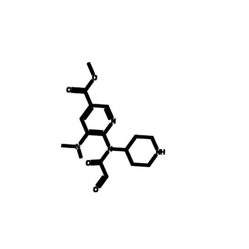 COC(=O)c1cnc(N(C(=O)C=O)C2CCNCC2)c(N(C)C)c1